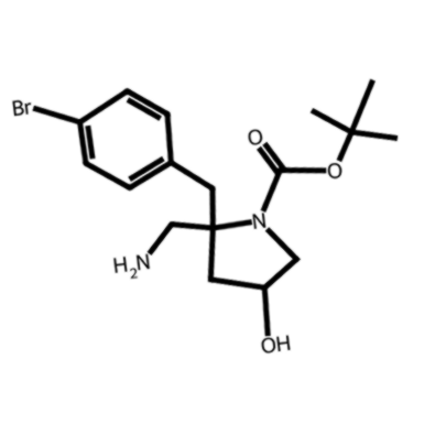 CC(C)(C)OC(=O)N1CC(O)CC1(CN)Cc1ccc(Br)cc1